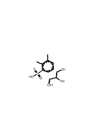 Cc1cccc(S(=O)(=O)O)c1C.OCC(O)CO